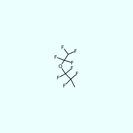 CC(F)(F)C(F)(F)OC(F)(F)C(F)F